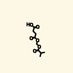 CC(C)C(=O)OCOC(=O)CCC(=O)O